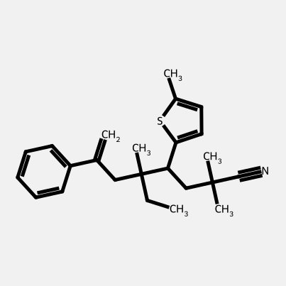 C=C(CC(C)(CC)C(CC(C)(C)C#N)c1ccc(C)s1)c1ccccc1